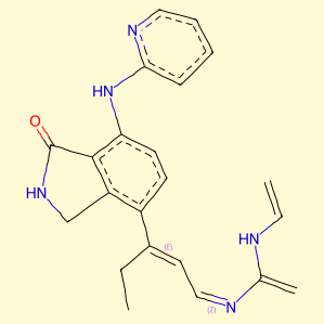 C=CNC(=C)/N=C\C=C(/CC)c1ccc(Nc2ccccn2)c2c1CNC2=O